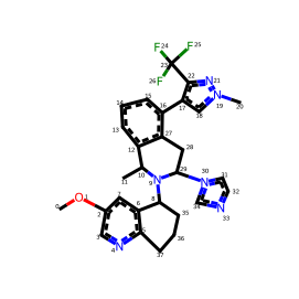 COc1cnc2c(c1)C(N1C(C)c3cccc(-c4cn(C)nc4C(F)(F)F)c3CC1n1ccnc1)CCC2